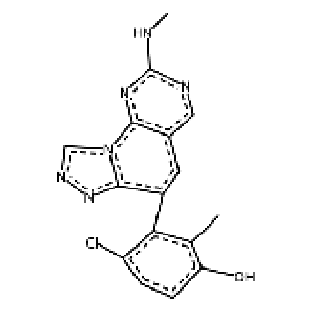 CNc1ncc2cc(-c3c(Cl)ccc(O)c3C)c3nncn3c2n1